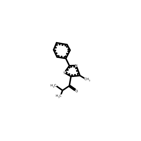 Cc1nc(-c2ccccc2)sc1C(=O)C(C)C